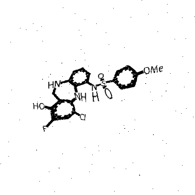 COc1ccc(S(=O)(=O)Nc2cccc3c2Nc2c(Cl)cc(F)c(O)c2CN3)cc1